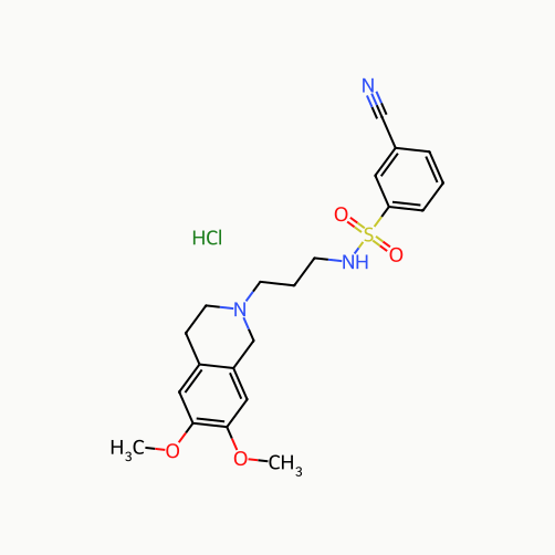 COc1cc2c(cc1OC)CN(CCCNS(=O)(=O)c1cccc(C#N)c1)CC2.Cl